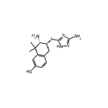 CC1(C)c2cc(O)ccc2C[C@H](Sc2nc(N)n[nH]2)[C@H]1N